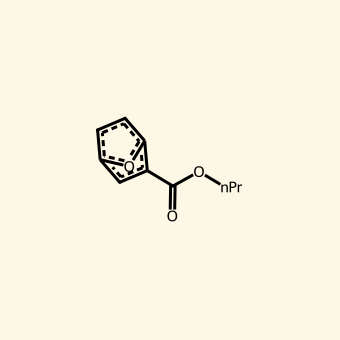 CCCOC(=O)c1cc2ccc1o2